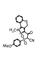 COc1ccc(S(=O)(=O)C(C#N)C(=O)c2nn(C)c3c2CSc2ccccc2-3)cc1